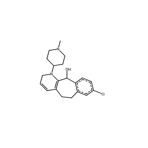 CN1CCC(N2CC=CC3=C2C(O)c2ccc(Cl)cc2CC3)CC1